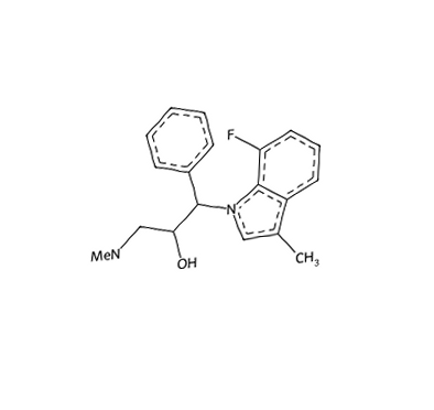 CNCC(O)C(c1ccccc1)n1cc(C)c2cccc(F)c21